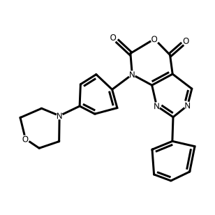 O=c1oc(=O)n(-c2ccc(N3CCOCC3)cc2)c2nc(-c3ccccc3)ncc12